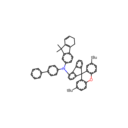 CC(C)(C)c1ccc2c(c1)C1(c3cc(C(C)(C)C)ccc3O2)c2ccccc2-c2c(N(c3ccc(-c4ccccc4)cc3)c3ccc4c(c3)C(C)(C)C3=C4CCC=C3)cccc21